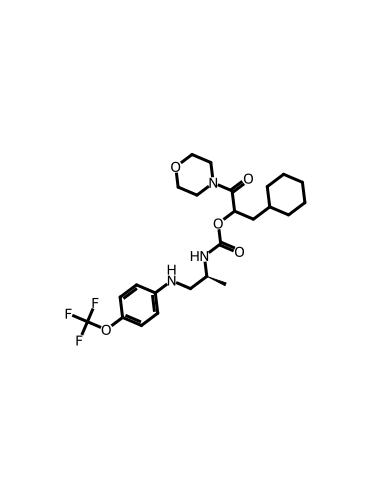 C[C@@H](CNc1ccc(OC(F)(F)F)cc1)NC(=O)OC(CC1CCCCC1)C(=O)N1CCOCC1